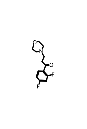 O=C(CCN1CCOCC1)c1ccc(F)cc1F